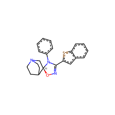 c1ccc(N2C(c3cc4ccccc4s3)=NO[C@@]23CN2CCC3CC2)cc1